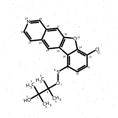 CC(C)(O)C(C)(C)OSc1ccc(Cl)c2oc3cc4cnccc4cc3c12